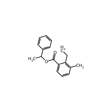 CCc1c(C)cccc1C(=O)OC(C)c1ccccc1